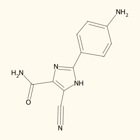 N#Cc1[nH]c(-c2ccc(N)cc2)nc1C(N)=O